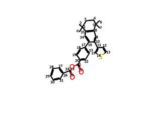 CC1(C)CCC(C)(C)c2cc(-c3ccsc3)c(-c3ccc(C(=O)OC(=O)c4ccccc4)cc3)cc21